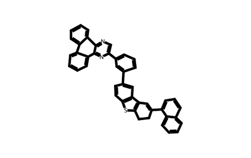 C1=C(c2cccc3ccccc23)CCc2sc3ccc(-c4cccc(-c5cnc6c7ccccc7c7ccccc7c6n5)c4)cc3c21